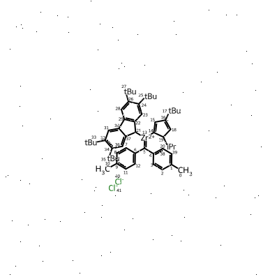 Cc1ccc([C](c2ccc(C)cc2)=[Zr+2]([C]2=CC(C(C)(C)C)=CC2C(C)C)[CH]2c3cc(C(C)(C)C)c(C(C)(C)C)cc3-c3cc(C(C)(C)C)c(C(C)(C)C)cc32)cc1.[Cl-].[Cl-]